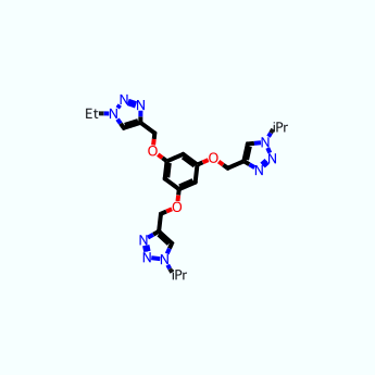 CCn1cc(COc2cc(OCc3cn(C(C)C)nn3)cc(OCc3cn(C(C)C)nn3)c2)nn1